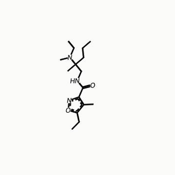 CCCC(C)(CNC(=O)c1noc(CC)c1C)N(C)CC